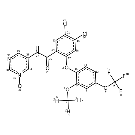 [2H]C([2H])([2H])Oc1cc(OC(F)(F)F)ccc1Oc1cc(Cl)c(Cl)cc1C(=O)Nc1cnc[n+]([O-])c1